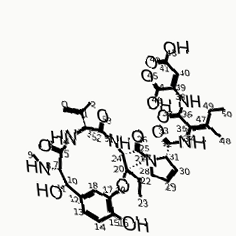 C=C(C)[C@@H]1NC(=O)[C@@H](NC)[C@@H](O)c2ccc(O)c(c2)O[C@](C)(CC)[C@@H](C(=O)N2CC=C[C@H]2C(=O)N/C(C(=O)N/C(=C/C(=O)O)C(=O)O)=C(\C)CC)NC1=O